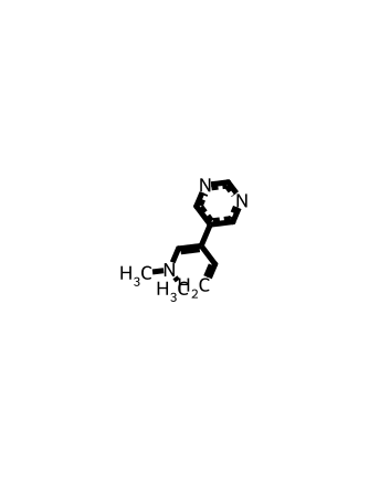 C=C/C(=C\N(C)C)c1cncnc1